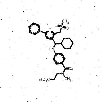 CCOC(=O)CCN(C)C(=O)c1ccc(NC(c2cc(-c3ccccc3)oc2CS(C)(=O)=O)C2CCCCC2)cc1